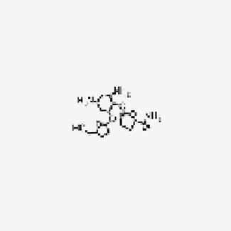 NC1CC(N)[C@@H](O[C@@H]2CCCC(C3(N)CC3)O2)C(OC2CCC(CO)O2)C1